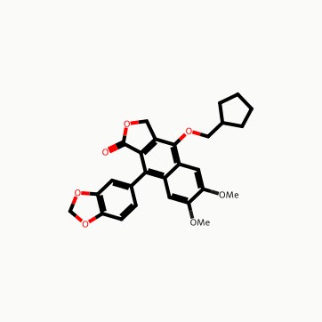 COc1cc2c(OCC3CCCC3)c3c(c(-c4ccc5c(c4)OCO5)c2cc1OC)C(=O)OC3